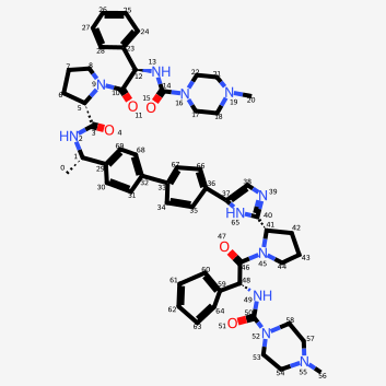 C[C@H](NC(=O)[C@@H]1CCCN1C(=O)[C@H](NC(=O)N1CCN(C)CC1)c1ccccc1)c1ccc(-c2ccc(-c3cnc([C@@H]4CCCN4C(=O)[C@H](NC(=O)N4CCN(C)CC4)c4ccccc4)[nH]3)cc2)cc1